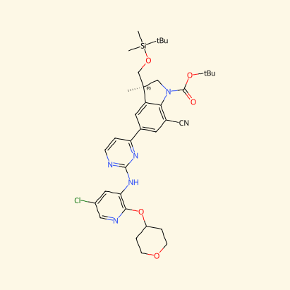 CC(C)(C)OC(=O)N1C[C@](C)(CO[Si](C)(C)C(C)(C)C)c2cc(-c3ccnc(Nc4cc(Cl)cnc4OC4CCOCC4)n3)cc(C#N)c21